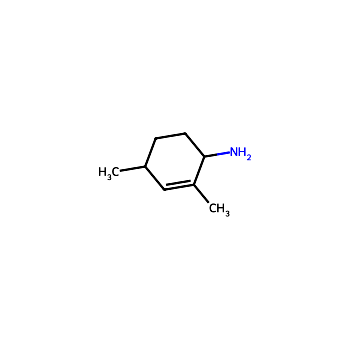 CC1=CC(C)CCC1N